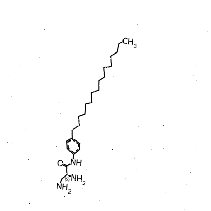 CCCCCCCCCCCCCCCCc1ccc(NC(=O)[C@@H](N)CN)cc1